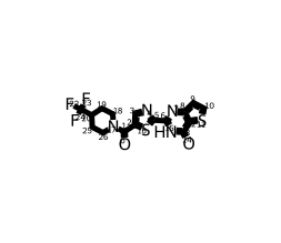 O=C(c1cnc(-c2nc3ccsc3c(=O)[nH]2)s1)N1CCC(C(F)(F)F)CC1